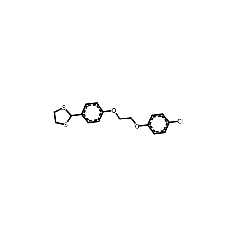 Clc1ccc(OCCOc2ccc(C3SCCS3)cc2)cc1